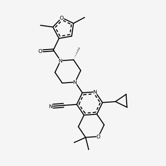 Cc1cc(C(=O)N2CCN(c3nc(C4CC4)c4c(c3C#N)CC(C)(C)OC4)C[C@H]2C)c(C)o1